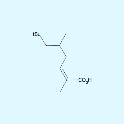 C/C(=C/CC(C)CC(C)(C)C)C(=O)O